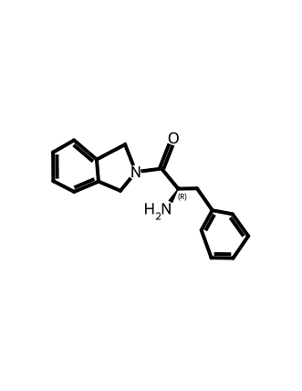 N[C@H](Cc1ccccc1)C(=O)N1Cc2ccccc2C1